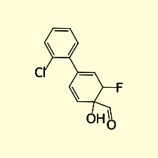 O=CC1(O)C=CC(c2ccccc2Cl)=CC1F